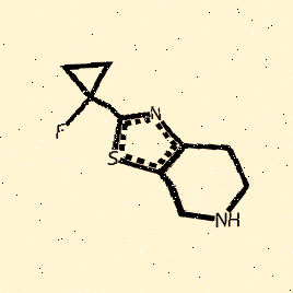 FC1(c2nc3c(s2)CNCC3)CC1